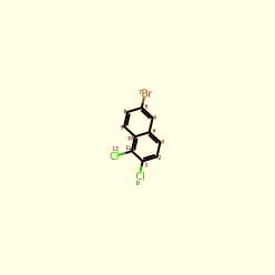 Clc1ccc2cc(Br)ccc2c1Cl